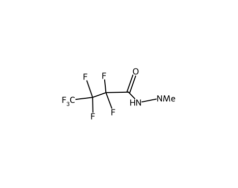 CNNC(=O)C(F)(F)C(F)(F)C(F)(F)F